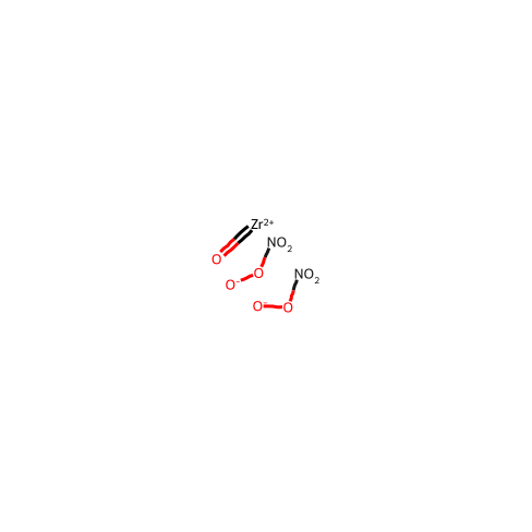 O=[N+]([O-])O[O-].O=[N+]([O-])O[O-].[O]=[Zr+2]